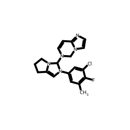 Cc1cc(N2C=C3CCCN3C2N2C=Cc3nccn3C2)cc(Cl)c1F